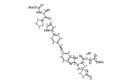 COC(=O)N[C@H](C(=O)N1CCC[C@H]1c1ncc(-c2ccc(C#Cc3ccc4nc([C@@H]5C[C@@]6(CCC(=O)O6)CN5C(=O)[C@@H](NC(=O)OC)C(C)C)[nH]c4c3)cc2)[nH]1)C(C)C